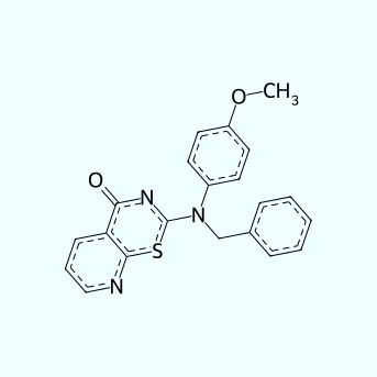 COc1ccc(N(Cc2ccccc2)c2nc(=O)c3cccnc3s2)cc1